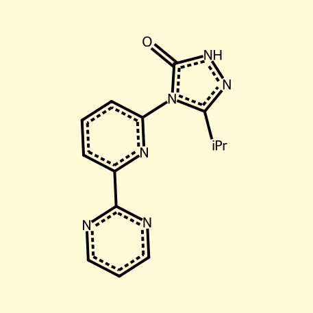 CC(C)c1n[nH]c(=O)n1-c1cccc(-c2ncccn2)n1